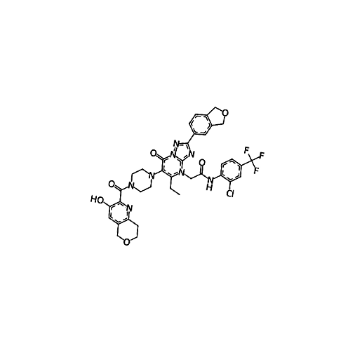 CCc1c(N2CCN(C(=O)c3nc4c(cc3O)COCC4)CC2)c(=O)n2nc(-c3ccc4c(c3)COC4)nc2n1CC(=O)Nc1ccc(C(F)(F)F)cc1Cl